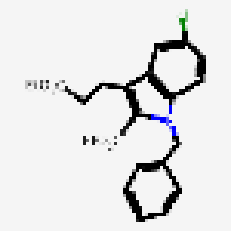 CCOC(=O)CCc1c(C(=O)OCC)n(Cc2ccccc2)c2ccc(Cl)cc12